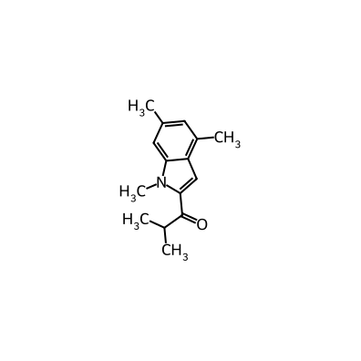 Cc1cc(C)c2cc(C(=O)C(C)C)n(C)c2c1